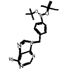 CC(C)(C)OB(OC(C)(C)C)c1ccc(Cn2cnc3c(S)ncnc32)cc1